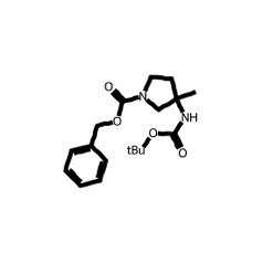 CC1(NC(=O)OC(C)(C)C)CCN(C(=O)OCc2ccccc2)C1